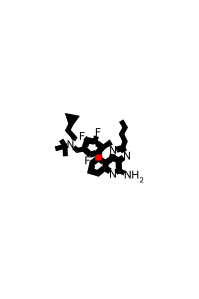 CCCCc1nc2c(N)nc3ccccc3c2n1Cc1c(F)c(F)c(CN(CCC2CC2)C(C)(C)C)c(F)c1F